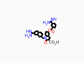 N=C(N)c1cccc(C(=O)Oc2ccc3c(c2)cc(C(=O)O)c(=O)n3Cc2ccc3ccc(C(=N)N)cc3c2)c1